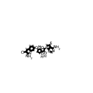 Nc1nc2cc(O[C@H]3CC[C@@]4(O)[C@@H]3O[C@@H](n3cc(F)c5c(N)ncnc53)[C@@H]4O)ccc2cc1Cl